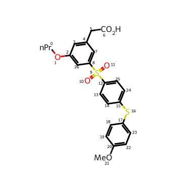 CCCOc1cc(CC(=O)O)cc(S(=O)(=O)c2ccc(Sc3ccc(OC)cc3)cc2)c1